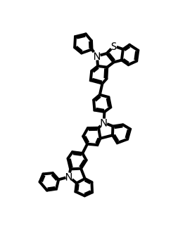 c1ccc(-n2c3ccccc3c3cc(-c4ccc5c(c4)c4ccccc4n5-c4ccc(-c5ccc6c(c5)c5c7ccccc7sc5n6-c5ccccc5)cc4)ccc32)cc1